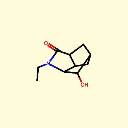 CCN1C(=O)C2CC3CC2C1C3O